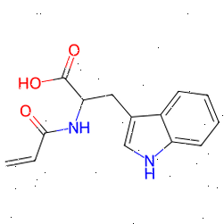 C=CC(=O)NC(Cc1c[nH]c2ccccc12)C(=O)O